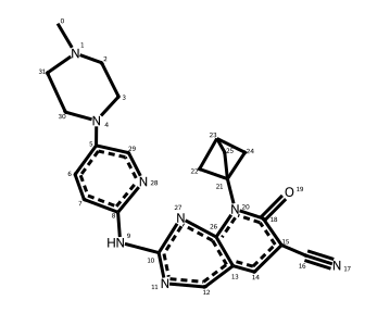 CN1CCN(c2ccc(Nc3ncc4cc(C#N)c(=O)n(C56CC(C5)C6)c4n3)nc2)CC1